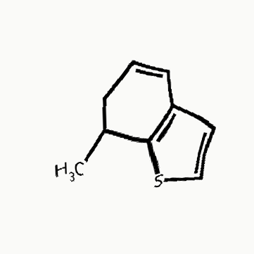 CC1CC=Cc2ccsc21